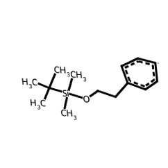 CC(C)(C)[Si](C)(C)OCCc1cc[c]cc1